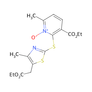 CCOC(=O)Cc1sc(Sc2c(C(=O)OCC)ccc(C)[n+]2[O-])nc1C